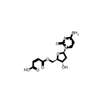 Nc1ccn([C@H]2C[C@H](O)[C@@H](COC(=O)/C=C\C(=O)O)O2)c(=O)n1